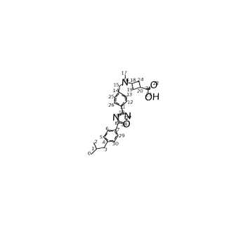 CC(C)Cc1ccc(-c2nc(-c3ccc(CN(C)C4CC(C(=O)O)C4)cc3)no2)cc1